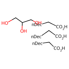 CCCCCCCCCCCC(=O)O.CCCCCCCCCCCC(=O)O.CCCCCCCCCCCC(=O)O.OCC(O)CO